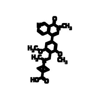 COc1cc(-c2cn(C)c(=O)c3cnccc23)cc(OC)c1CN(C)C12CC1(C(=O)O)C2